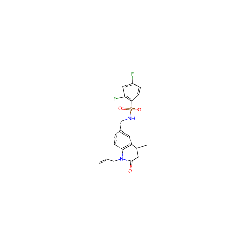 C=CCN1C(=O)CC(C)c2cc(CNS(=O)(=O)c3ccc(F)cc3F)ccc21